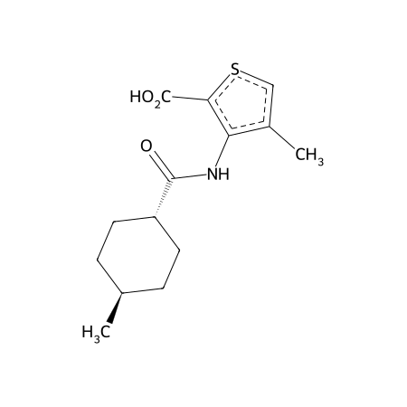 Cc1csc(C(=O)O)c1NC(=O)[C@H]1CC[C@H](C)CC1